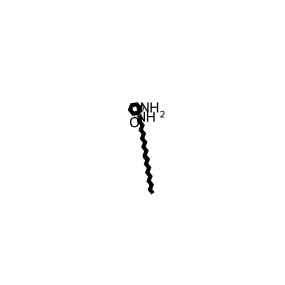 CCCCCCCCC=CCCCCCCCC(=O)N[C@H]1CCCC[C@@H]1N